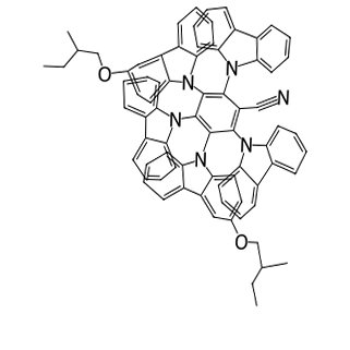 CCC(C)COc1ccc2c(c1)c1ccccc1n2-c1c(-n2c3ccccc3c3ccccc32)c(C#N)c(-n2c3ccccc3c3ccccc32)c(-n2c3ccccc3c3cc(OCC(C)CC)ccc32)c1-n1c2ccccc2c2ccccc21